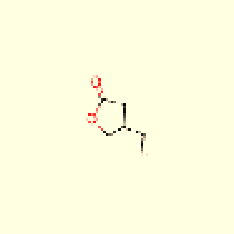 C=CC1=CC(=O)OC1